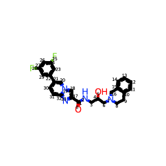 O=C(NCC(O)CN1CCc2ccccc2C1)c1cn2cc(-c3cc(F)cc(F)c3)ccc2n1